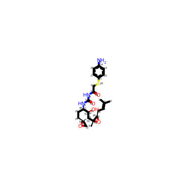 CC(C)=CC[C@H]1O[C@]1(C)[C@H]1[C@H](O)[C@H](NC(=O)NC(=O)CSc2ccc(N)cc2)CC[C@]12CO2